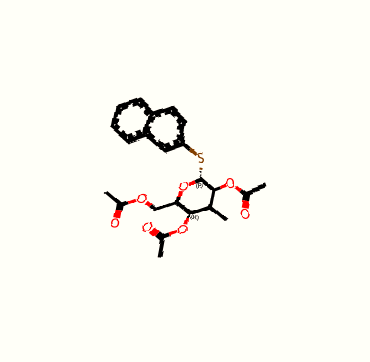 CC(=O)OCC1O[C@H](Sc2ccc3ccccc3c2)C(OC(C)=O)C(C)[C@H]1OC(C)=O